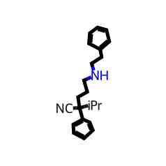 CC(C)C(C#N)(CCCNCCc1ccccc1)c1ccccc1